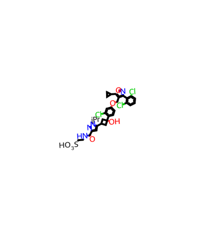 CC(C)n1nc(C(=O)NCCS(=O)(=O)O)cc1C1CC(O)(c2ccc(OCc3c(-c4c(Cl)cccc4Cl)noc3C3CC3)cc2Cl)C1